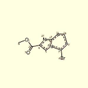 COC(=O)c1cn2c(Br)cccc2n1